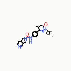 CC1CC(=O)N(CC(F)(F)F)N=C1c1ccc(NC(=O)N2Cc3ccncc3C2)cc1